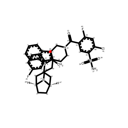 Cc1nc2ccccc2n1C1C[C@H]2CC[C@@H](C1)N2CCC1(c2cccc(F)c2)CCN(C(=O)c2cc(S(N)(=O)=O)c(Cl)cc2F)CC1